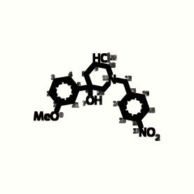 COc1cccc(C2(O)CCCN(Cc3ccc([N+](=O)[O-])cc3)C2)c1.Cl